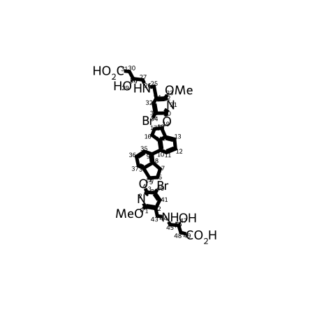 COc1nc(O[C@H]2CCc3c(-c4cccc5c4CC[C@@H]5Oc4nc(OC)c(CNC[C@H](O)CC(=O)O)cc4Br)cccc32)c(Br)cc1CNC[C@H](O)CC(=O)O